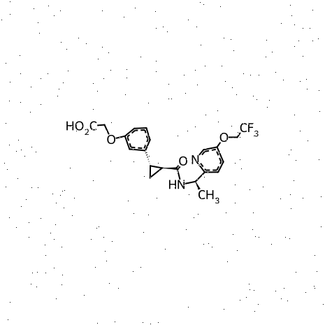 C[C@@H](NC(=O)[C@H]1C[C@@H]1c1cccc(OCC(=O)O)c1)c1ccc(OCC(F)(F)F)cn1